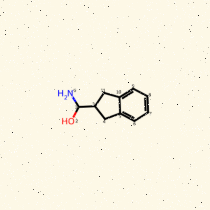 NC(O)C1Cc2ccccc2C1